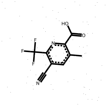 Cc1cc(C#N)c(C(F)(F)F)nc1C(=O)O